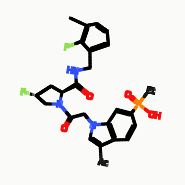 CCP(=O)(O)c1ccc2c(C(C)=O)cn(CC(=O)N3C[C@H](F)C[C@H]3C(=O)NCc3cccc(C)c3F)c2c1